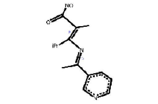 C/C(=N\C(=C(/C)C(=O)N=O)C(C)C)c1cccnc1